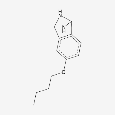 CCCCOc1ccc2c(c1)C1NC2N1